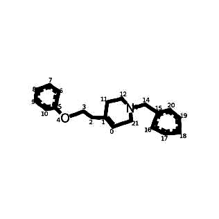 C1=C(CCOc2ccccc2)CCN(Cc2ccccc2)C1